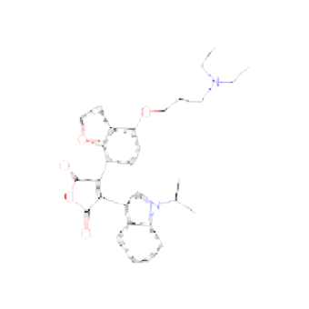 CCN(CC)CCCOc1ccc(C2=C(c3cn(C(C)C)c4ccccc34)C(=O)OC2=O)c2occc12